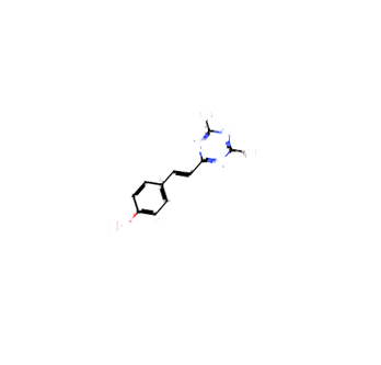 Oc1ccc(C=Cc2nc(C(Cl)(Cl)Cl)nc(C(Cl)(Cl)Cl)n2)cc1